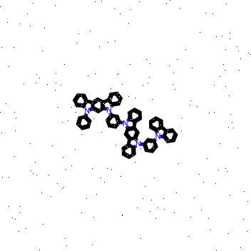 c1ccc(-n2c3ccccc3c3cc4c5ccccc5n(-c5cccc(-n6c7ccccc7c7cc8c(cc76)c6ccccc6n8-c6cccc(-n7c8ccccc8c8ccccc87)c6)c5)c4cc32)cc1